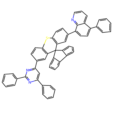 c1ccc(-c2cc(-c3ccc4c(c3)C3(c5cc(-c6ccc(-c7ccccc7)c7cccnc67)ccc5S4)c4ccccc4-c4ccccc43)nc(-c3ccccc3)n2)cc1